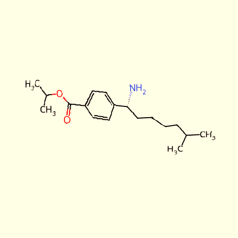 CC(C)CCCC[C@@H](N)c1ccc(C(=O)OC(C)C)cc1